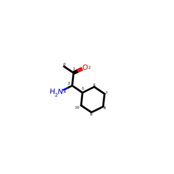 CC(=O)C(N)C1CCCCC1